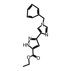 CCOC(=O)c1cc(-c2cn(Cc3ccccc3)cn2)n[nH]1